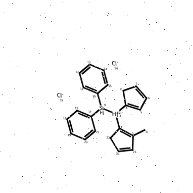 CC1=[C]([Hf+2]([C]2=CC=CC2)[SiH](c2ccccc2)c2ccccc2)CC=C1.[Cl-].[Cl-]